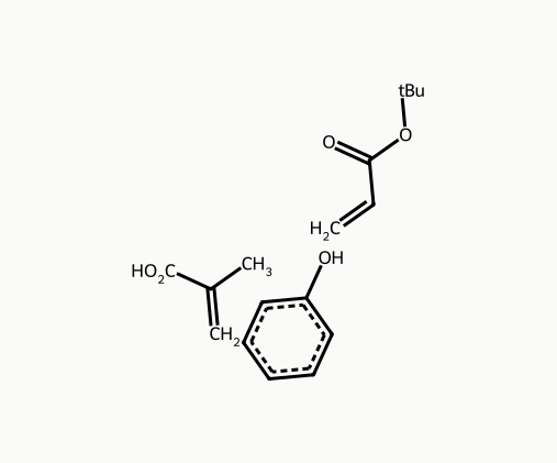 C=C(C)C(=O)O.C=CC(=O)OC(C)(C)C.Oc1ccccc1